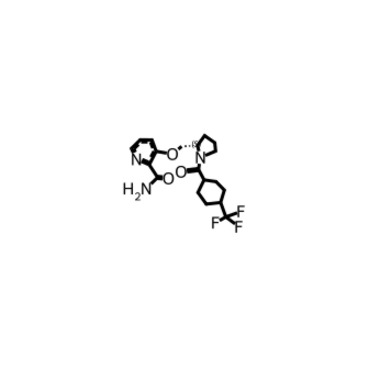 NC(=O)c1ncccc1OC[C@@H]1CCCN1C(=O)C1CCC(C(F)(F)F)CC1